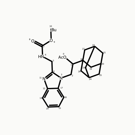 CC(=O)OC(Cn1c(CNC(=O)OC(C)(C)C)nc2ccccc21)C12CC3CC(CC(C3)C1)C2